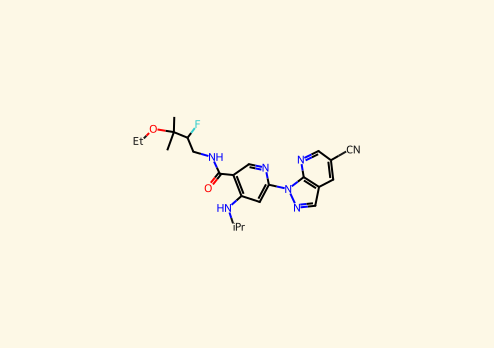 CCOC(C)(C)C(F)CNC(=O)c1cnc(-n2ncc3cc(C#N)cnc32)cc1NC(C)C